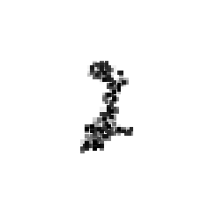 COc1ccc2c(c1N1CCC(N(C)C[C@H]3CC[C@H](n4cc(NC(=O)c5cnn6cccnc56)c(C(F)F)n4)CC3)C(F)C1)n(C)c(=O)n2C1CCC(=O)NC1=O